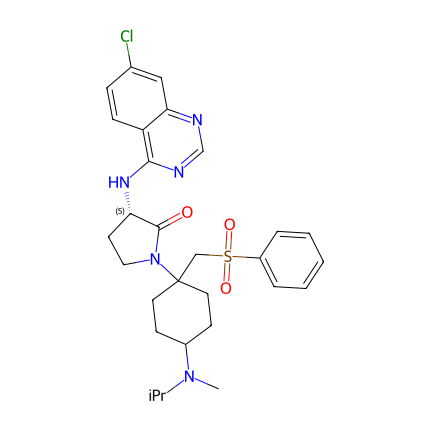 CC(C)N(C)C1CCC(CS(=O)(=O)c2ccccc2)(N2CC[C@H](Nc3ncnc4cc(Cl)ccc34)C2=O)CC1